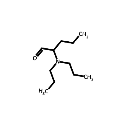 CCCC(C=O)N(CCC)CCC